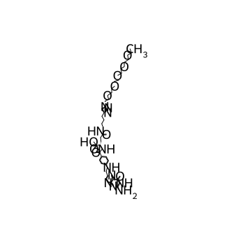 CCOCCOCCOCCOCCOCCn1cc(CCCCNC(=O)CC[C@H](NC(=O)c2ccc(NCc3cnc4nc(N)[nH]c(=O)c4n3)cc2)C(=O)O)nn1